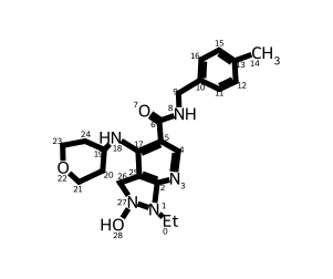 CCN1c2ncc(C(=O)NCc3ccc(C)cc3)c(NC3CCOCC3)c2CN1O